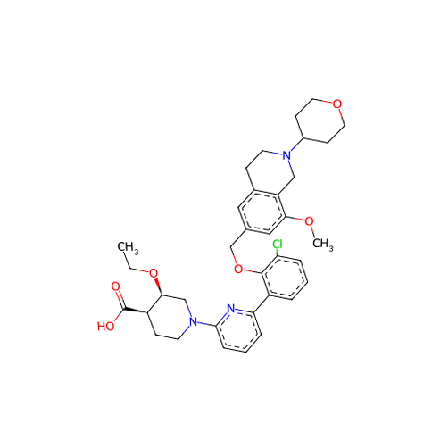 CCO[C@H]1CN(c2cccc(-c3cccc(Cl)c3OCc3cc4c(c(OC)c3)CN(C3CCOCC3)CC4)n2)CC[C@H]1C(=O)O